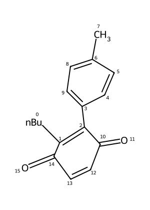 CCCCC1=C(c2ccc(C)cc2)C(=O)C=CC1=O